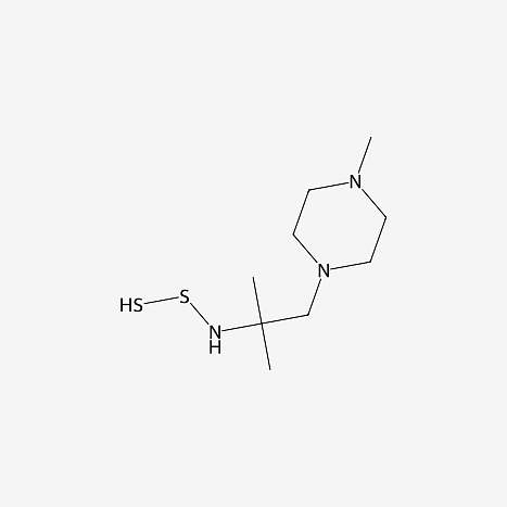 CN1CCN(CC(C)(C)NSS)CC1